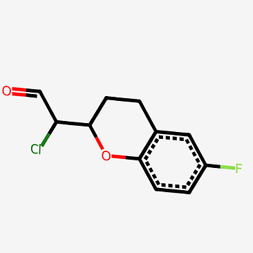 O=CC(Cl)C1CCc2cc(F)ccc2O1